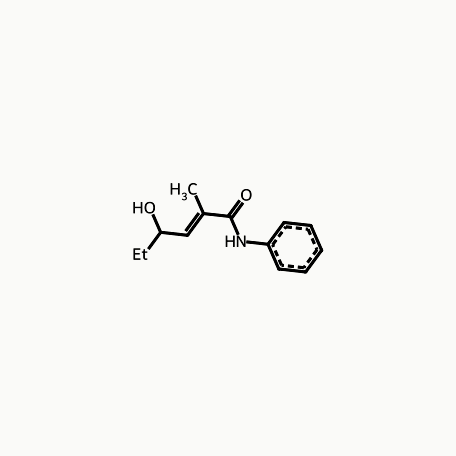 CCC(O)C=C(C)C(=O)Nc1ccccc1